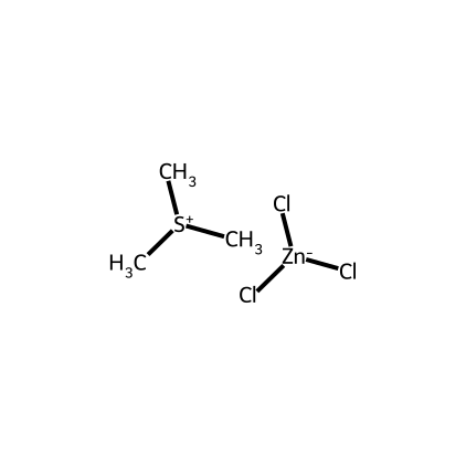 C[S+](C)C.[Cl][Zn-]([Cl])[Cl]